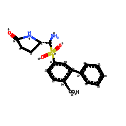 NC([C@@H]1CCC(=O)N1)S(=O)(=O)c1ccc(C(=O)O)c(-c2ccccc2)c1